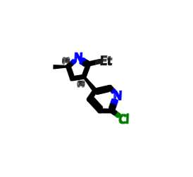 CCC1=N[C@H](C)C[C@@H]1c1ccc(Cl)nc1